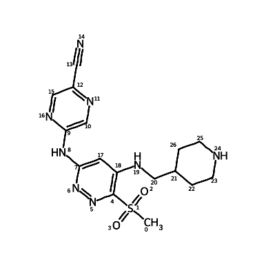 CS(=O)(=O)c1nnc(Nc2cnc(C#N)cn2)cc1NCC1CCNCC1